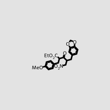 CCOC(=O)C(Cc1ccc(OC)cc1)C(=O)C(Cc1ccc2c(c1)OCO2)C[N+](=O)[O-]